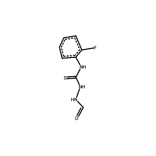 O=CNNC(=S)Nc1ccccc1F